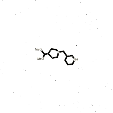 COC(OC)C1CCN(CC2CCCNC2)CC1